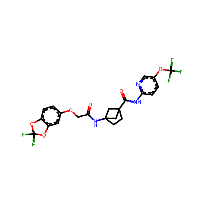 O=C(COc1ccc2c(c1)OC(F)(F)O2)NC12CCC(C(=O)Nc3ccc(OC(F)(F)F)cn3)(C1)C2